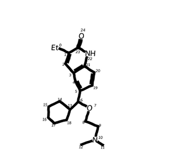 CCc1cc2cc(C(OCCN(C)C)C3CCCCC3)ccc2[nH]c1=O